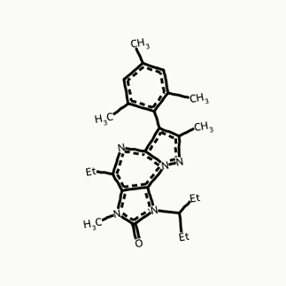 CCc1nc2c(-c3c(C)cc(C)cc3C)c(C)nn2c2c1n(C)c(=O)n2C(CC)CC